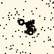 Cn1c(N2[C@@H]3CC[C@H]2CN(C(=O)O)C3)nc(-c2ccncc2)cc1=O